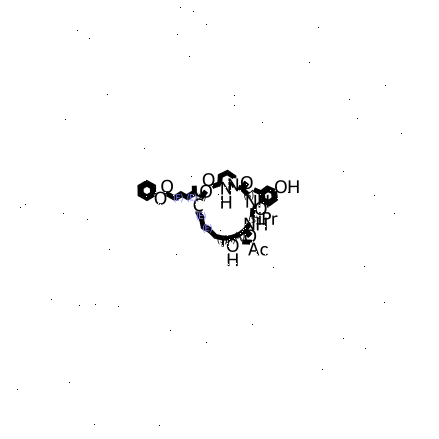 CC(=O)CC[C@H]1C(=O)N[C@@H](C(C)C)C(=O)N[C@@H](Cc2cccc(O)c2)C(=O)N2CCCC(N2)C(=O)O[C@H](/C(C)=C/C=C/C(=O)Oc2ccccc2)C/C=C/C=C/C[C@H](C)[C@H]1O